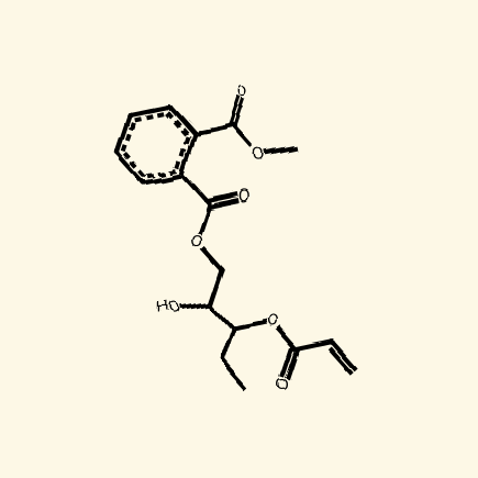 C=CC(=O)OC(CC)C(O)COC(=O)c1ccccc1C(=O)OC